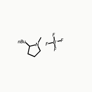 CCCCC1CCCN1C.F[B-](F)(F)F